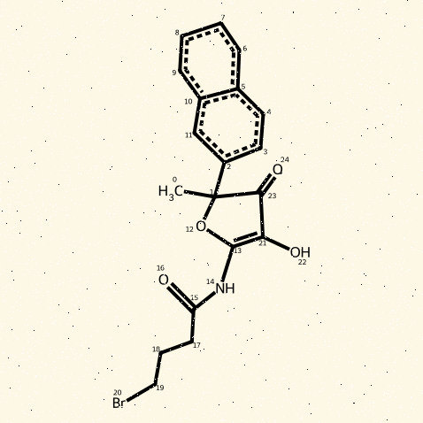 CC1(c2ccc3ccccc3c2)OC(NC(=O)CCCBr)=C(O)C1=O